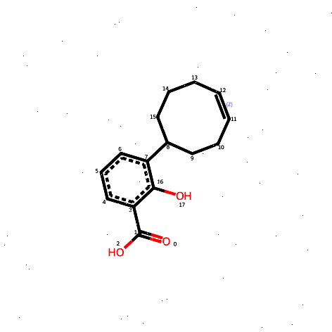 O=C(O)c1cccc(C2CC/C=C\CCC2)c1O